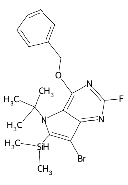 C[SiH](C)c1c(Br)c2nc(F)nc(OCc3ccccc3)c2n1C(C)(C)C